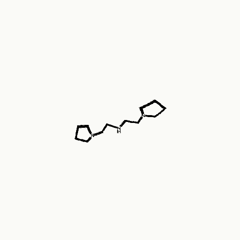 C1CCN(CCNCCN2CCCC2)C1